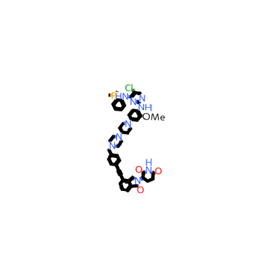 COc1cc(N2CCC(N3CCN(Cc4ccc(C#Cc5cccc6c5CN(C5CCC(=O)NC5=O)C6=O)cc4)CC3)CC2)ccc1Nc1ncc(Cl)c(Nc2ccccc2P(C)C)n1